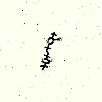 CC(C)(C)c1cnc(C(C)(C)CCC(C)(C)c2cc(C#N)c(C(C)(C)C)cn2)c(F)c1